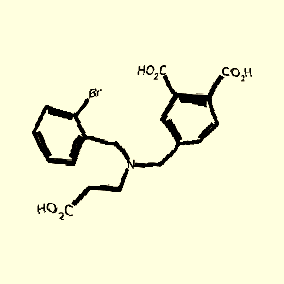 O=C(O)CCN(Cc1ccc(C(=O)O)c(C(=O)O)c1)Cc1ccccc1Br